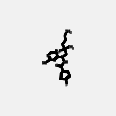 CC(C)(CCCN)CN(NC(=O)c1ccc(F)cc1)c1ccnc(C#N)n1